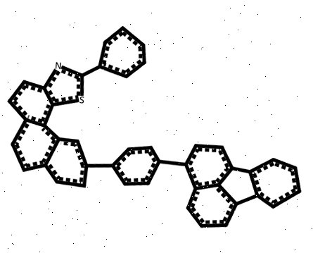 c1ccc(-c2nc3ccc4ccc5ccc(-c6ccc(-c7ccc8c9c(cccc79)-c7ccccc7-8)cc6)cc5c4c3s2)cc1